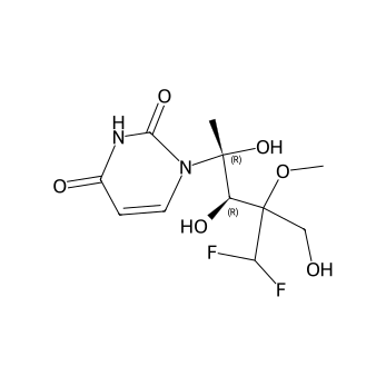 COC(CO)(C(F)F)[C@@H](O)[C@@](C)(O)n1ccc(=O)[nH]c1=O